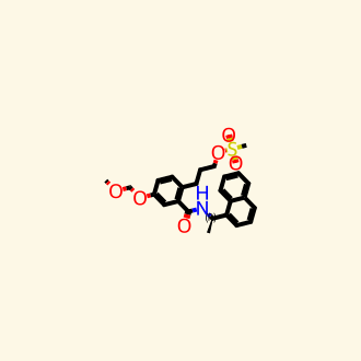 COCOc1ccc(CCCOS(C)(=O)=O)c(C(=O)N[C@H](C)c2cccc3ccccc23)c1